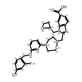 O=C(O)c1ccc2nc(CN3CCCN(c4cccc(OCc5ccc(Cl)cc5F)n4)CC3)n(C[C@@H]3CCO3)c2c1